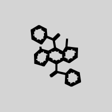 C=C(c1ccccc1)c1c2cccc(C)c2c(C(=C)c2ccccc2)c2c(C)cccc12